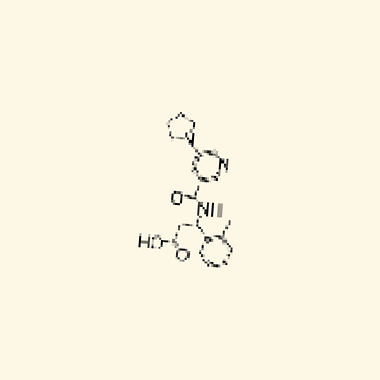 Cc1ccccc1C(CC(=O)O)NC(=O)c1cncc(N2CCCC2)c1